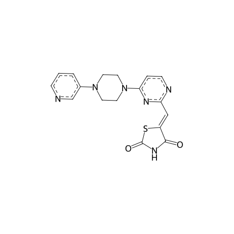 O=C1NC(=O)C(=Cc2nccc(N3CCN(c4cccnc4)CC3)n2)S1